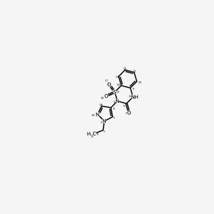 CCn1cc(N2C(=O)Nc3ccccc3S2(=O)=O)cn1